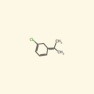 CC(C)=C1C=CC=C(Cl)C1